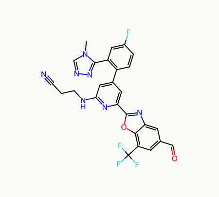 Cn1cnnc1-c1cc(F)ccc1-c1cc(NCCC#N)nc(-c2nc3cc(C=O)cc(C(F)(F)F)c3o2)c1